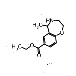 CCOC(=O)c1ccc2c(c1)C(C)NCCO2